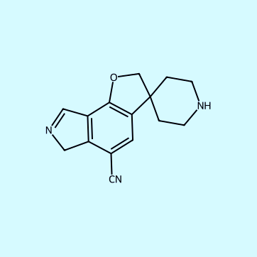 N#Cc1cc2c(c3c1CN=C3)OCC21CCNCC1